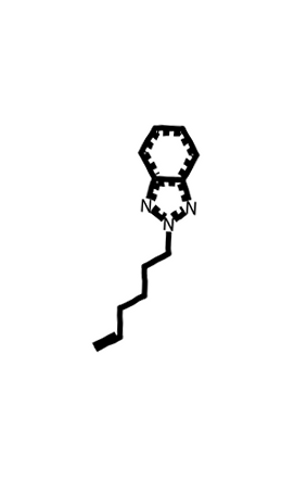 C=CCCCCn1nc2ccccc2n1